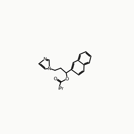 CC(C)C(=O)OC(CCn1ccnc1)c1ccc2ccccc2c1